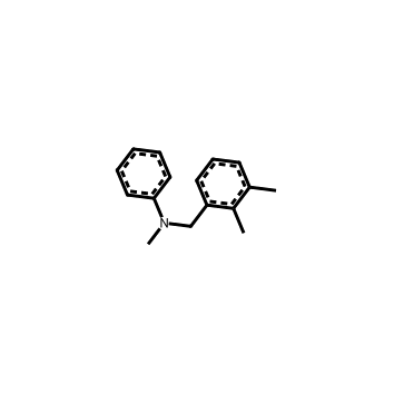 Cc1cccc(CN(C)c2ccccc2)c1C